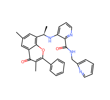 Cc1cc([C@@H](C)Nc2cccnc2C(=O)NCc2ccccn2)c2oc(-c3ccccc3)c(C)c(=O)c2c1